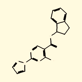 O=C(NC1CCc2ccccc21)c1cnc(-n2cccn2)nc1O